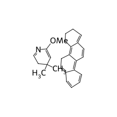 C1=c2ccc3c(c2CCC1)CC=c1ccccc1=3.COC1=CC(C)(C)CC=N1